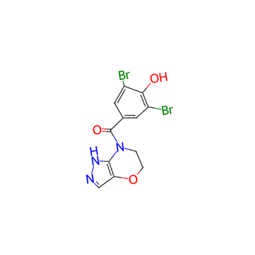 O=C(c1cc(Br)c(O)c(Br)c1)N1CCOc2cn[nH]c21